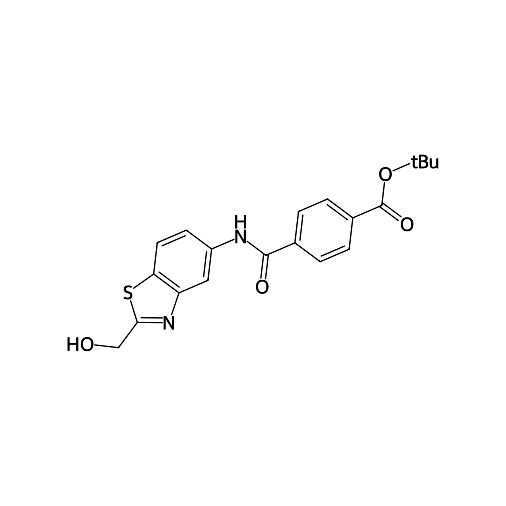 CC(C)(C)OC(=O)c1ccc(C(=O)Nc2ccc3sc(CO)nc3c2)cc1